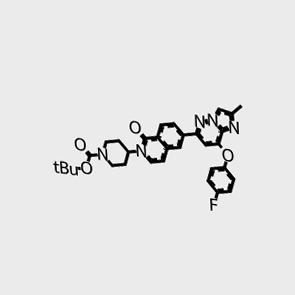 Cc1cn2nc(-c3ccc4c(=O)n(C5CCN(C(=O)OC(C)(C)C)CC5)ccc4c3)cc(Oc3ccc(F)cc3)c2n1